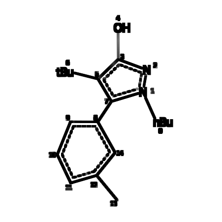 CCCCn1nc(O)c(C(C)(C)C)c1-c1cccc(C)c1